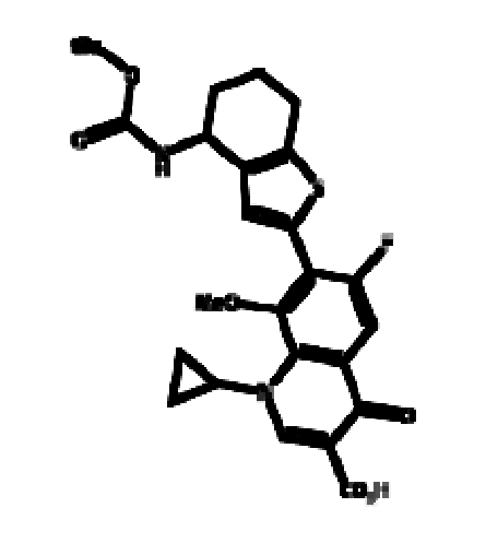 COc1c(-c2cc3c(s2)CCCC3NC(=O)OC(C)(C)C)c(F)cc2c(=O)c(C(=O)O)cn(C3CC3)c12